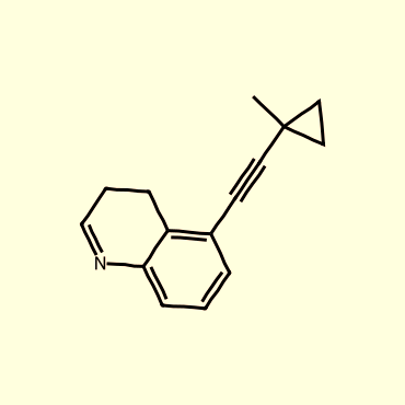 CC1(C#Cc2cccc3c2CCC=N3)CC1